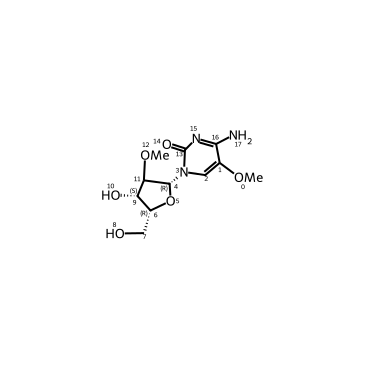 COc1cn([C@@H]2O[C@H](CO)[C@H](O)C2OC)c(=O)nc1N